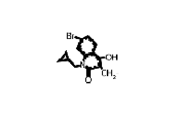 [CH2]c1c(O)c2ccc(Br)cc2n(CC2CC2)c1=O